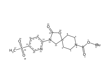 CC(C)(C)OC(=O)N1CCC2(CC1)CN(c1ccc(S(C)(=O)=O)cn1)C(=O)O2